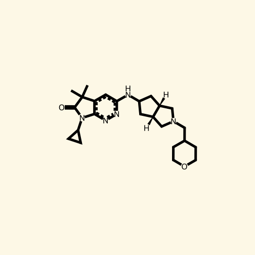 CC1(C)C(=O)N(C2CC2)c2nnc(NC3C[C@@H]4CN(CC5CCOCC5)C[C@@H]4C3)cc21